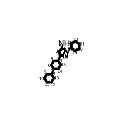 Nc1cc(-c2ccc(-c3ccccc3)cc2)nn1-c1ccccc1